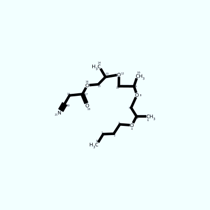 CCCCOC(C)COC(C)COC(C)COC(=O)CC#N